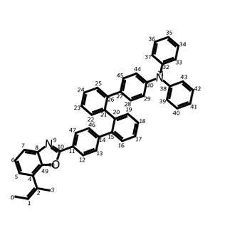 C/C=C(/C)c1cccc2nc(-c3ccc(-c4ccccc4-c4ccccc4-c4ccc(N(c5ccccc5)c5ccccc5)cc4)cc3)oc12